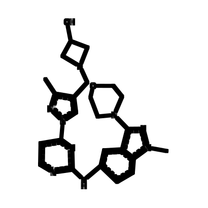 Cc1nn(-c2ccnc(Nc3ccc4c(c3)c(N3CCOCC3)nn4C)n2)cc1CN1CC(O)C1